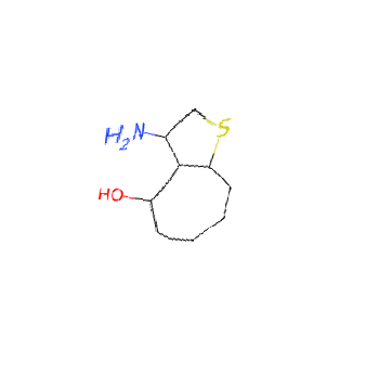 NC1CSC2CCCCC(O)C12